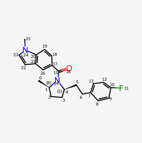 C[C@@H]1CC[C@H](CCc2ccc(F)cc2)N1C(=O)c1ccc2c(ccn2C)c1